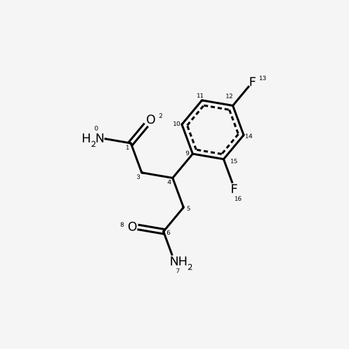 NC(=O)CC(CC(N)=O)c1ccc(F)cc1F